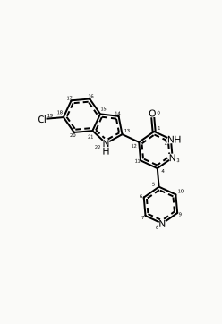 O=c1[nH]nc(-c2ccncc2)cc1-c1cc2ccc(Cl)cc2[nH]1